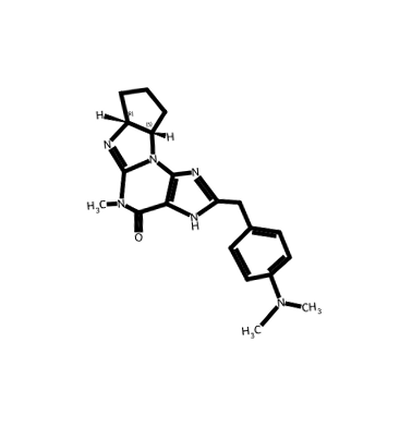 CN1C(=O)c2[nH]c(Cc3ccc(N(C)C)cc3)nc2N2C1=N[C@@H]1CCC[C@@H]12